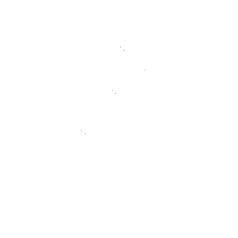 C[C@@H]1CN(c2nc3ccccc3o2)C[C@H](C)N1